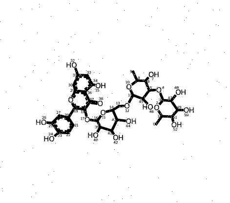 CC1OC(OC2C(O)C(C)OC(OCC3OC(Oc4c(-c5ccc(O)c(O)c5)oc5cc(O)cc(O)c5c4=O)C(O)C(O)C3O)C2O)C(O)C(O)C1O